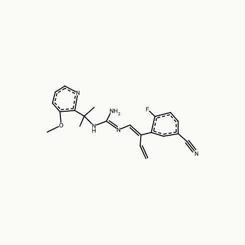 C=C/C(=C\N=C(/N)NC(C)(C)c1ncccc1OC)c1cc(C#N)ccc1F